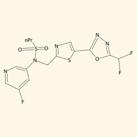 CCCS(=O)(=O)N(Cc1ncc(-c2nnc(C(F)F)o2)s1)c1cncc(F)c1